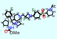 COC(=O)N[C@H]1CCC[C@@H]1C(CN1CCC1)(c1cccc(F)c1)C1CCN(CC2(F)CN(c3ccc(S(=O)(=O)C4CCCN(C(C)=O)C4)cc3F)C2)CC1